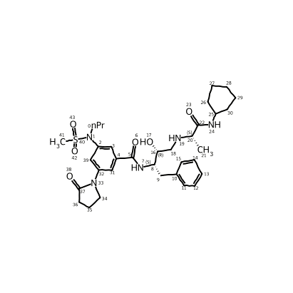 CCCN(c1cc(C(=O)N[C@@H](Cc2ccccc2)[C@H](O)CN[C@@H](C)C(=O)NC2CCCCC2)cc(N2CCCC2=O)c1)S(C)(=O)=O